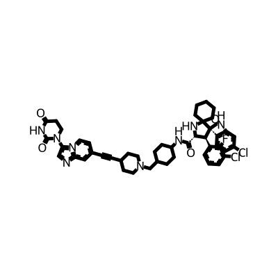 O=C1CCN(c2cnc3cc(C#CC4CCN(CC5CCC(NC(=O)[C@@H]6NC7(CCCCC7)[C@@]7(C(=O)Nc8cc(Cl)ccc87)[C@H]6c6cccc(Cl)c6F)CC5)CC4)ccn23)C(=O)N1